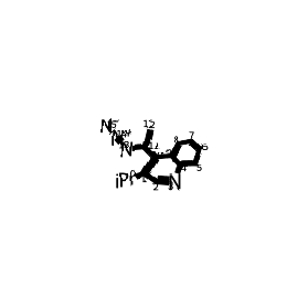 CC(C)c1cnc2ccccc2c1C(C)N=[N+]=[N-]